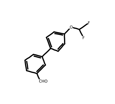 O=Cc1cccc(-c2c[c]c(OC(F)F)cc2)c1